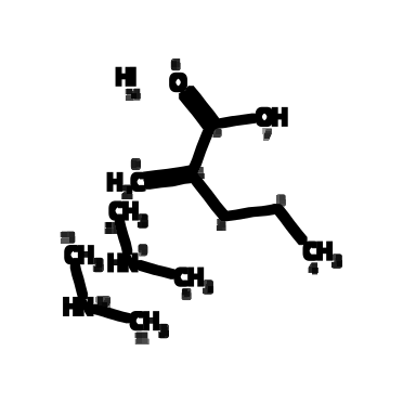 C=C(CCC)C(=O)O.CNC.CNC.I